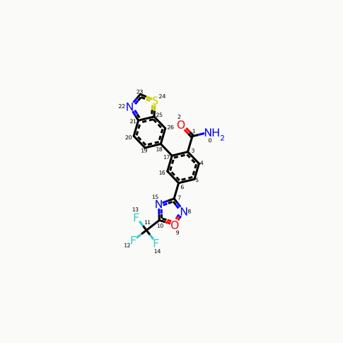 NC(=O)c1ccc(-c2noc(C(F)(F)F)n2)cc1-c1ccc2ncsc2c1